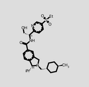 CCS(=O)(=O)c1ccc([C@@H](CO)NC(=O)c2ccc3c(c2)CN(C[C@H]2CC[C@H](C)CC2)[C@@H]3C(C)C)nc1